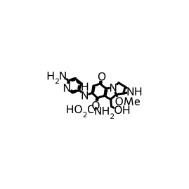 COC12C(CO)C3=C(C(=O)C=C(Nc4ccc(N)nc4)C3=O)N1CC1NC12.NC(=O)O